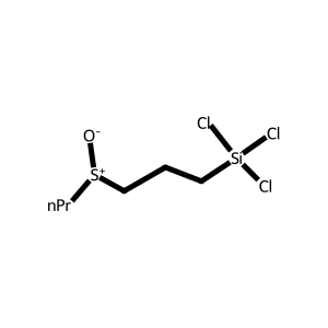 [CH2]CC[S+]([O-])CCC[Si](Cl)(Cl)Cl